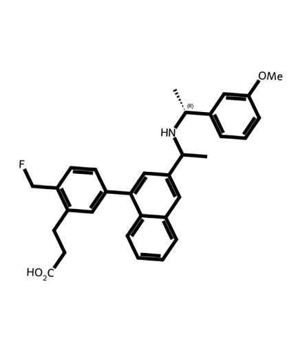 COc1cccc([C@@H](C)NC(C)c2cc(-c3ccc(CF)c(CCC(=O)O)c3)c3ccccc3c2)c1